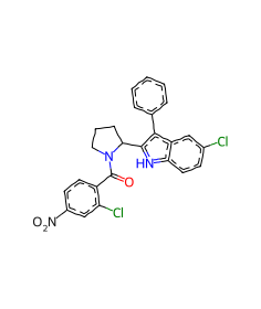 O=C(c1ccc([N+](=O)[O-])cc1Cl)N1CCCC1c1[nH]c2ccc(Cl)cc2c1-c1ccccc1